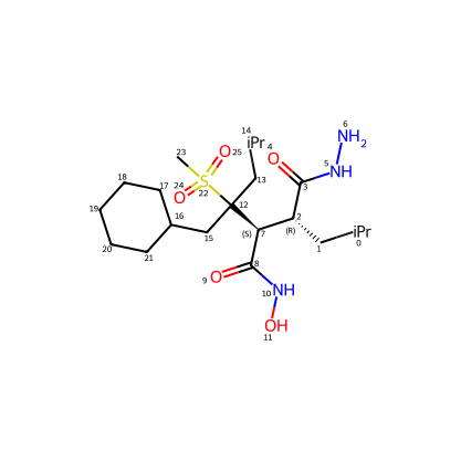 CC(C)C[C@@H](C(=O)NN)[C@@H](C(=O)NO)C(CC(C)C)(CC1CCCCC1)S(C)(=O)=O